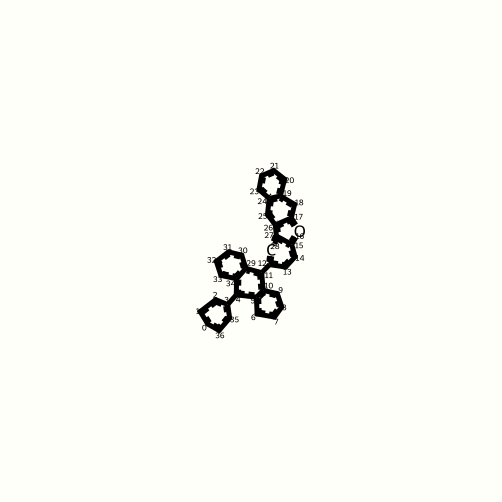 c1ccc(-c2c3ccccc3c(-c3ccc4oc5cc6ccccc6cc5c4c3)c3ccccc23)cc1